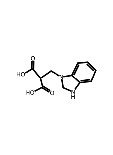 O=C(O)C(CN1CNc2ccccc21)C(=O)O